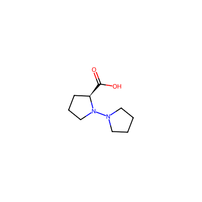 O=C(O)[C@@H]1CCCN1N1CCCC1